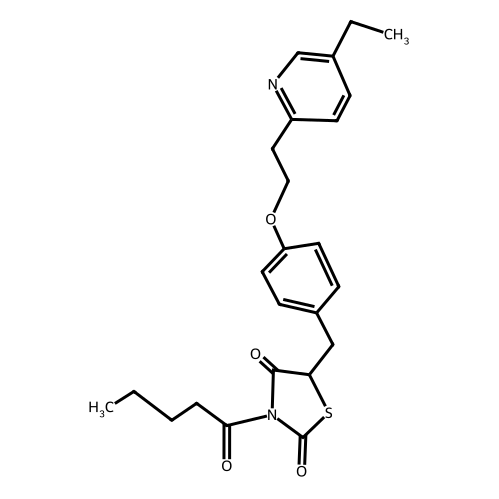 CCCCC(=O)N1C(=O)SC(Cc2ccc(OCCc3ccc(CC)cn3)cc2)C1=O